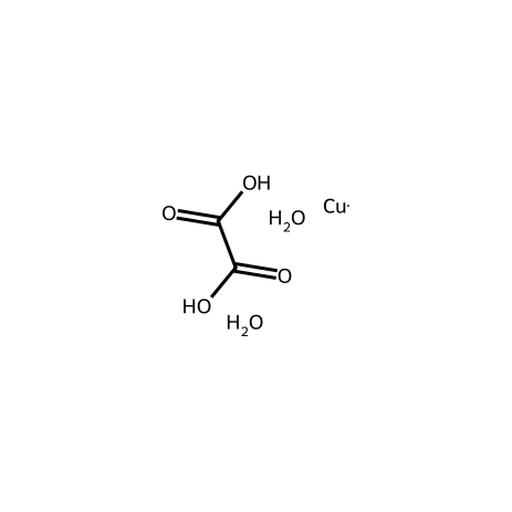 O.O.O=C(O)C(=O)O.[Cu]